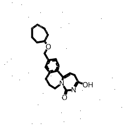 O=C1N=C(O)CC=C2c3ccc(COC4CCCCCC4)cc3CCCN12